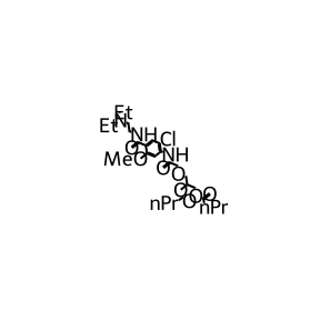 CCCC(=O)OCC(COCC(=O)Nc1cc(OC)c(C(=O)NCCN(CC)CC)cc1Cl)OC(=O)CCC